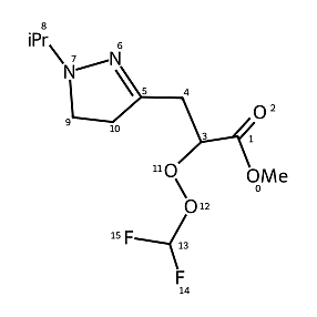 COC(=O)C(CC1=NN(C(C)C)CC1)OOC(F)F